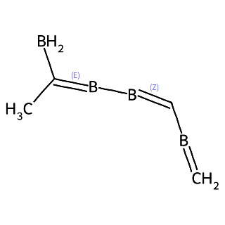 B/C(C)=B\B=C/B=C